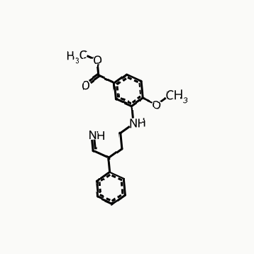 COC(=O)c1ccc(OC)c(NCCC(C=N)c2ccccc2)c1